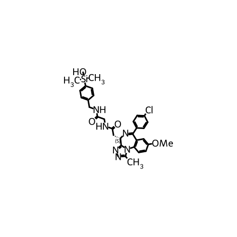 COc1ccc2c(c1)C(c1ccc(Cl)cc1)=N[C@@H](CC(=O)NCC(=O)NCc1ccc([Si](C)(C)O)cc1)c1nnc(C)n1-2